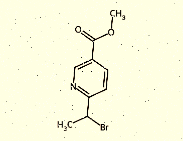 COC(=O)c1ccc(C(C)Br)nc1